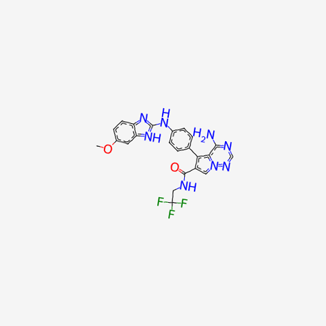 COc1ccc2nc(Nc3ccc(-c4c(C(=O)NCC(F)(F)F)cn5ncnc(N)c45)cc3)[nH]c2c1